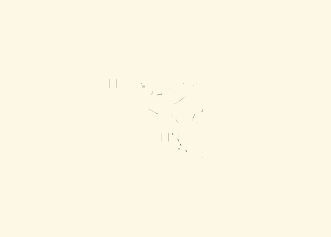 NNc1ccc(S(=O)(=O)O)c2cc(S(=O)(=O)O)ccc12